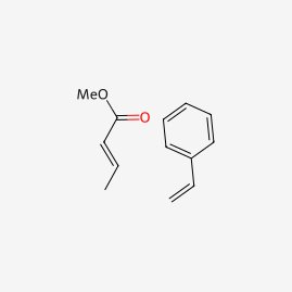 C=Cc1ccccc1.CC=CC(=O)OC